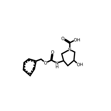 O=C(NC1CC(O)CN(C(=O)O)C1)OCc1ccccc1